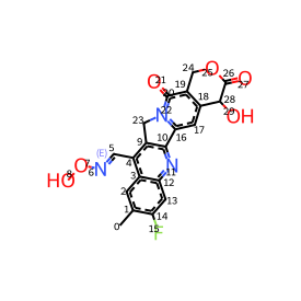 Cc1cc2c(/C=N/OO)c3c(nc2cc1F)-c1cc2c(c(=O)n1C3)COC(=O)C2O